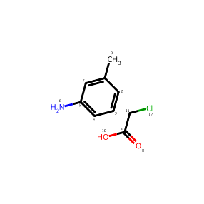 Cc1cccc(N)c1.O=C(O)CCl